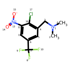 CN(C)Cc1cc(C(F)(F)F)cc([N+](=O)[O-])c1Cl